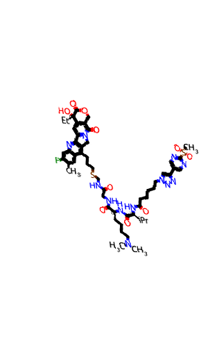 CC[C@@]1(O)C(=O)OCc2c1cc1n(c2=O)Cc2c-1nc1cc(F)c(C)cc1c2CCCSCNC(=O)CNC(=O)[C@H](CCCCN(C)C)NC(=O)[C@@H](NC(=O)CCCCCn1cc(-c2cnc(S(C)(=O)=O)nc2)nn1)C(C)C